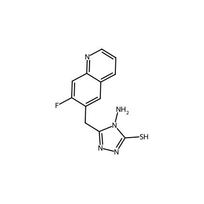 Nn1c(S)nnc1Cc1cc2cccnc2cc1F